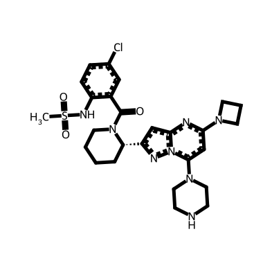 CS(=O)(=O)Nc1ccc(Cl)cc1C(=O)N1CCCC[C@H]1c1cc2nc(N3CCC3)cc(N3CCNCC3)n2n1